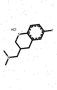 CN(C)CC1CSc2ccc(F)cc2C1.Cl